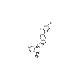 COc1ccc(-c2ccc3c(c2)CN(C)C3CNc2cnccc2C(=O)O)c(F)c1